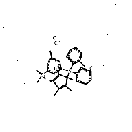 CC1=C(C)C(C)([Si](c2ccccc2)(c2cc(C)cc([Si](C)(C)C)c2)c2ccccc2C)[C]([Ti+3])=C1C.[Cl-].[Cl-].[Cl-]